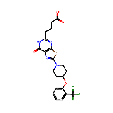 O=C(O)CCCc1nc2sc(N3CCC(Oc4ccccc4C(F)(F)F)CC3)nc2c(=O)[nH]1